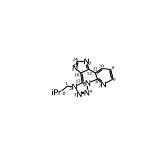 CC(C)Cn1nnn2c3ncccc3c3ncnc-3c12